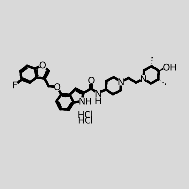 C[C@@H]1CN(CCN2CCC(NC(=O)c3cc4c(OCc5coc6ccc(F)cc56)cccc4[nH]3)CC2)C[C@H](C)[C@H]1O.Cl.Cl